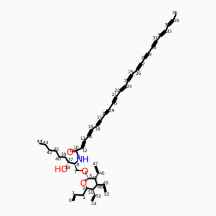 C=CCC1O[C@H](OC[C@H](NC(=O)C#CC#CC#CC#CC#CC#CC#CC#CC#CC#CC#CC#CC)[C@H](O)CCCCCC)[C@@H](C=C)C(C=C)[C@H]1C=C